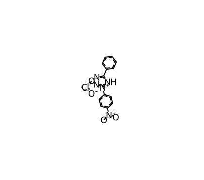 O=[N+]([O-])c1ccc(-[n+]2nnc(-c3ccccc3)[nH]2)cc1.[O-][Cl+][O-]